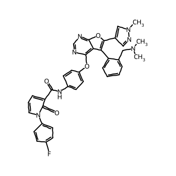 CN(C)Cc1ccccc1-c1c(-c2cnn(C)c2)oc2ncnc(Oc3ccc(NC(=O)c4cccn(-c5ccc(F)cc5)c4=O)cc3)c12